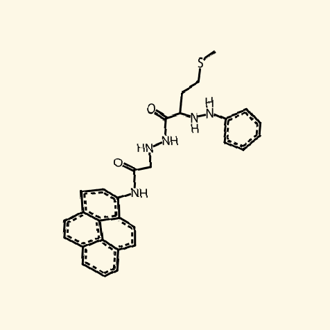 CSCCC(NNc1ccccc1)C(=O)NNCC(=O)Nc1ccc2ccc3cccc4ccc1c2c34